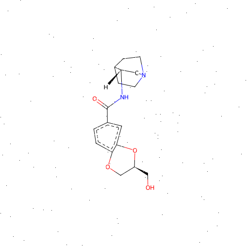 O=C(N[C@H]1CN2CCC1CC2)c1ccc2c(c1)O[C@@H](CO)CO2